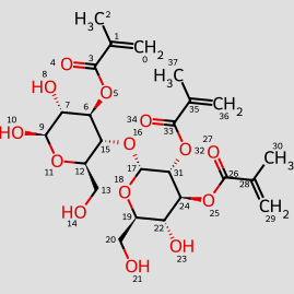 C=C(C)C(=O)O[C@@H]1[C@@H](O)[C@H](O)O[C@H](CO)[C@H]1O[C@H]1O[C@H](CO)[C@@H](O)[C@H](OC(=O)C(=C)C)[C@H]1OC(=O)C(=C)C